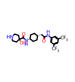 O=C(C[C@H]1CC[C@@H](NC(=O)C2(O)CCNCC2)CC1)Nc1cc(C(F)(F)F)cc(C(F)(F)F)c1